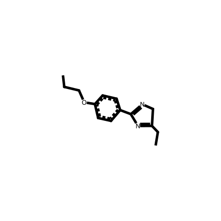 CCCOc1ccc(C2=NCC(CC)=N2)cc1